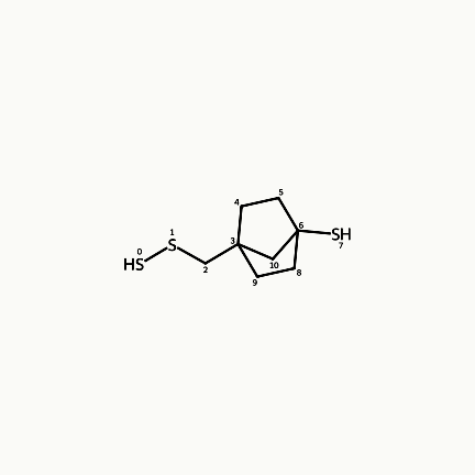 SSCC12CCC(S)(CC1)C2